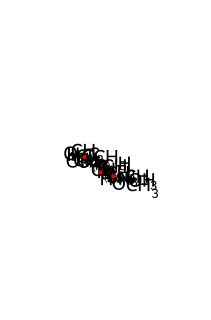 CC(C)(O)CNC(=O)C[C@]12CCC[C@@H]1[C@H]1CCC3[C@@]4(C)CC[C@H](OC(=O)CC(C)(C)C(=O)O)C(C)(C)C4CC[C@@]3(C)[C@]1(C)CC2